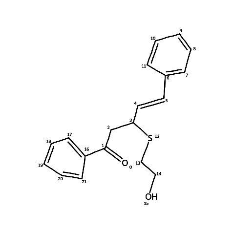 O=C(CC(/C=C/c1ccccc1)SCCO)c1ccccc1